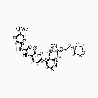 COc1ccc(NC(=O)NC2=CC=C(c3ccnc4cc(OCCN5CCOCC5)c(C#N)cc34)CC2=O)cc1